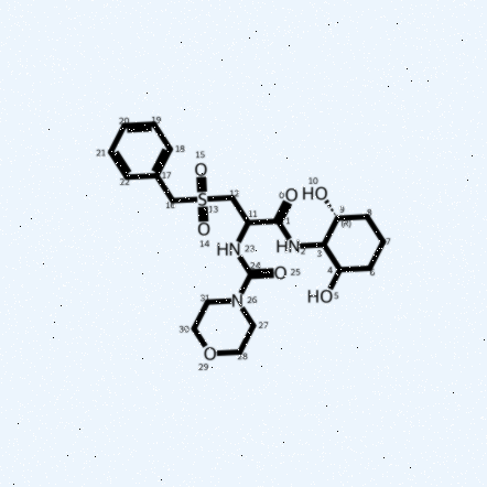 O=C(NC1C(O)CCC[C@H]1O)C(CS(=O)(=O)Cc1ccccc1)NC(=O)N1CCOCC1